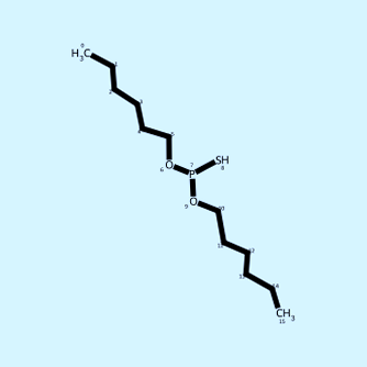 CCCCCCOP(S)OCCCCCC